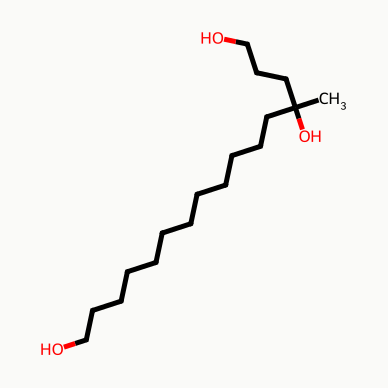 CC(O)(CCCO)CCCCCCCCCCCCO